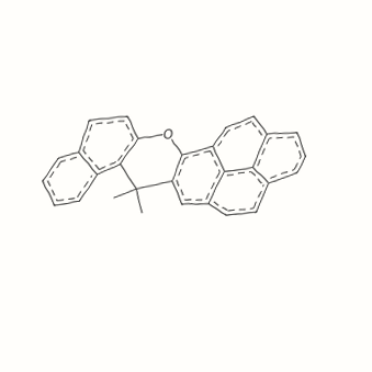 CC1(C)c2cc3ccc4cccc5ccc(c2Oc2ccc6ccccc6c21)c3c45